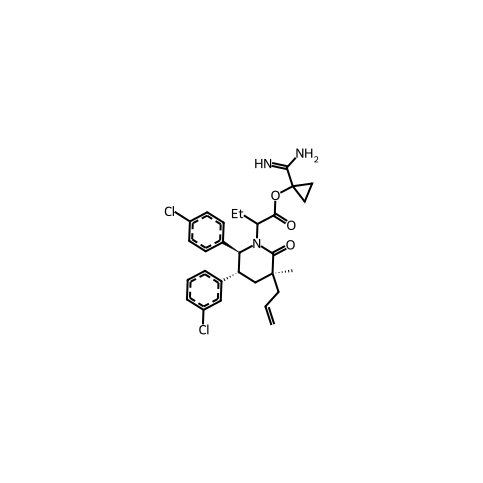 C=CC[C@@]1(C)C[C@H](c2cccc(Cl)c2)[C@@H](c2ccc(Cl)cc2)N(C(CC)C(=O)OC2(C(=N)N)CC2)C1=O